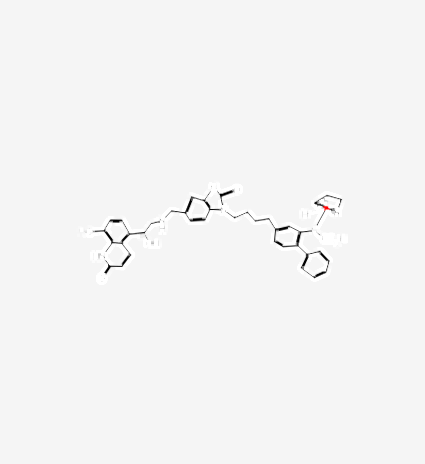 O=C(O)N(c1cc(CCCCn2c(=O)oc3cc(CNC[C@@H](O)c4ccc(O)c5[nH]c(=O)ccc45)ccc32)ccc1-c1ccccc1)[C@H]1CN2CCC1CC2